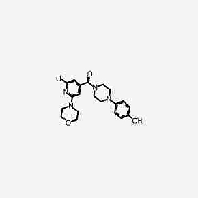 O=C(c1cc(Cl)nc(N2CCOCC2)c1)N1CCN(c2ccc(O)cc2)CC1